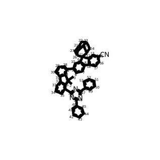 CC1(C)c2c(-c3ccc4c(c3)C3(c5cc(C#N)ccc5-4)C4CC5CC(C4)CC3C5)cccc2-c2cccc(-c3nc(-c4ccccc4)nc(-c4ccccc4)n3)c21